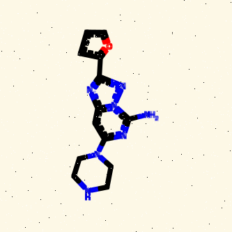 Nc1nc(N2CCNCC2)cc2nc(-c3ccco3)nn12